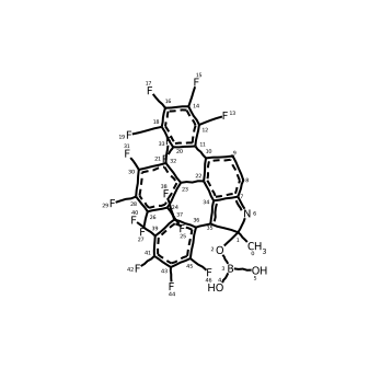 CC1(OB(O)O)N=c2ccc(-c3c(F)c(F)c(F)c(F)c3F)c(-c3c(F)c(F)c(F)c(F)c3F)c2=C1c1c(F)c(F)c(F)c(F)c1F